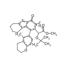 COC(=O)C(OC(C)(C)C)c1c(-c2ccc3c(c2C)CCCO3)c2c3c(sc2c(=O)n1C)CCCC3